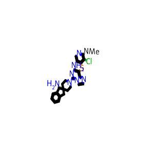 CNc1nccc(Sc2c(N)nc(N3CCC4(CC3)Cc3ccccc3[C@H]4N)n3ccnc23)c1Cl